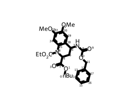 CCCCOC(=O)C1CC(NC(=O)OCc2ccccc2)c2cc(OC)c(OC)cc2N1C(=O)OCC